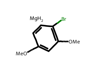 COc1ccc(Br)c(OC)c1.[MgH2]